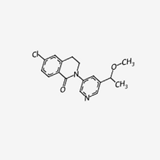 COC(C)c1cncc(N2CCc3cc(Cl)ccc3C2=O)c1